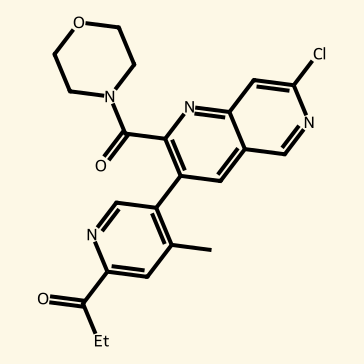 CCC(=O)c1cc(C)c(-c2cc3cnc(Cl)cc3nc2C(=O)N2CCOCC2)cn1